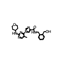 Cc1cnc(NC2CCOCC2)nc1-n1cnc(C(=O)NCc2ccccc2CO)c1